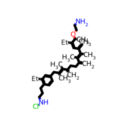 C=C(CCC(=C)/C(C)=C(C)/C(/C=C(/CC)C(C)OCCN)=C/C)/C(C)=C(\C)Cc1ccc(CCCNCl)c(CC)c1